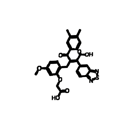 COc1ccc(CC(C(=O)c2ccc(C)c(C)c2)=C(C(=O)O)c2ccc3nsnc3c2)c(OCC(=O)O)c1